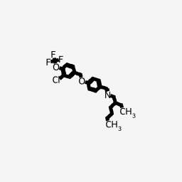 CCCCC(CC)CN=Cc1ccc(OCc2ccc(OC(F)(F)F)c(Cl)c2)cc1